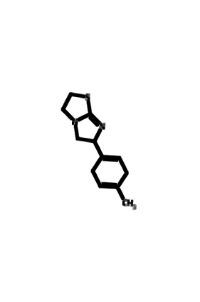 CC1=CCC(C2CN3CCSC3=N2)=CC1